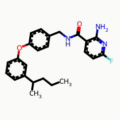 CCCC(C)c1cccc(Oc2ccc(CNC(=O)c3ccc(F)nc3N)cc2)c1